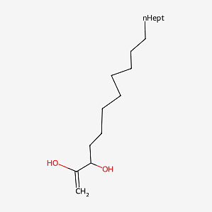 C=C(O)C(O)CCCCCCCCCCCCCCC